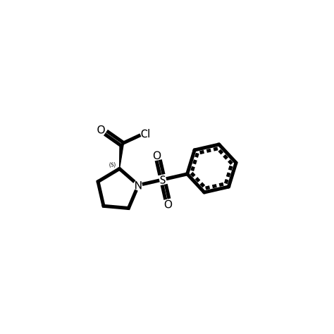 O=C(Cl)[C@@H]1CCCN1S(=O)(=O)c1ccccc1